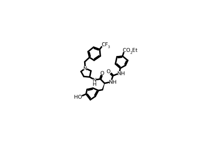 CCOC(=O)c1ccc(NC(=O)N[C@@H](Cc2ccc(O)cc2)C(=O)NC2CCN(Cc3ccc(C(F)(F)F)cc3)C2)cc1